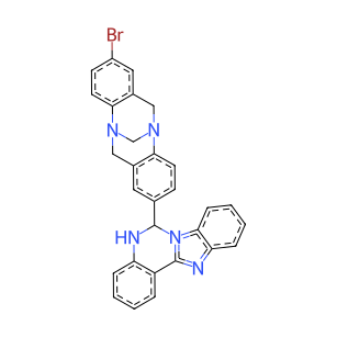 Brc1ccc2c(c1)CN1CN2Cc2cc(C3Nc4ccccc4-c4nc5ccccc5n43)ccc21